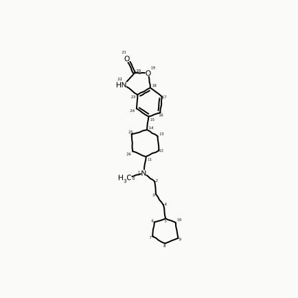 CN(CCCC1CCCCC1)C1CCC(c2ccc3oc(=O)[nH]c3c2)CC1